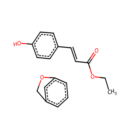 CCOC(=O)C=Cc1ccc(O)cc1.c1cc2cc(c1)OC2